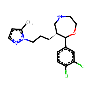 Cc1ccnn1CCC[C@@H]1CNCCO[C@H]1c1ccc(Cl)c(Cl)c1